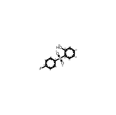 O=S(=O)(c1ccc(F)cc1)c1ccccc1O